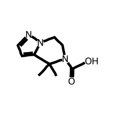 CC1(C)c2ccnn2CCN1C(=O)O